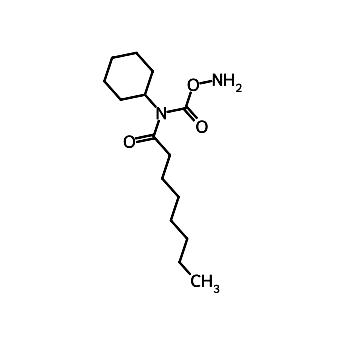 CCCCCCCC(=O)N(C(=O)ON)C1CCCCC1